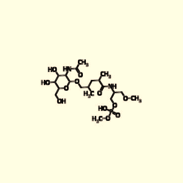 COCC(COP(=O)(O)OC)NC(=O)C(C)CC(C)COC1OC(CO)C(O)C(O)C1NC(C)=O